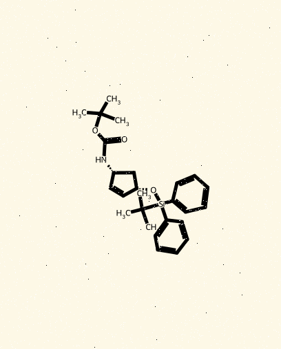 CC(C)(C)OC(=O)N[C@H]1C=C[C@@H](O[Si](c2ccccc2)(c2ccccc2)C(C)(C)C)C1